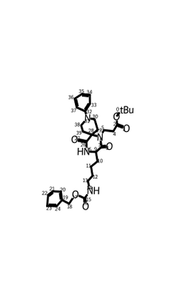 CC(C)(C)OC(=O)CCN1C(=O)C(CCCCNC(=O)OCc2ccccc2)NC(=O)C12CCN(c1ccccc1)CC2